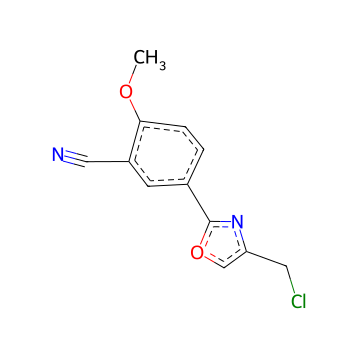 COc1ccc(-c2nc(CCl)co2)cc1C#N